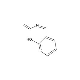 C=C/N=C\c1ccccc1O